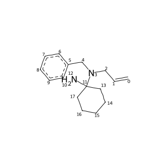 C=CCN(Cc1ccccc1)C1(N)CCCCC1